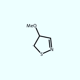 COC1[CH]SN=C1